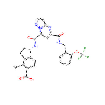 Cc1c(C(=O)O)ccc2c1CC[C@@H]2NC(=O)c1cc(C(=O)NCc2ccccc2OC(F)(F)F)nc2ccnn12